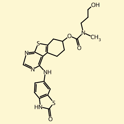 CN(CCCO)C(=O)OC1CCc2c(sc3ncnc(Nc4ccc5[nH]c(=O)sc5c4)c23)C1